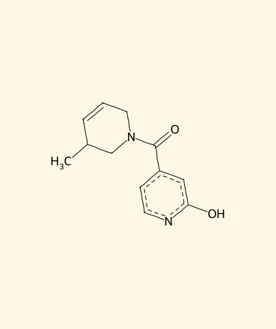 CC1C=CCN(C(=O)c2ccnc(O)c2)C1